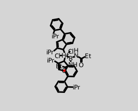 CCC(=O)N[B](NC(=O)CC)[Hf]([Cl])([Cl])([CH]1C(C(C)C)=Cc2c(-c3ccccc3C(C)C)cccc21)[CH]1C(C(C)C)=Cc2c(-c3ccccc3C(C)C)cccc21